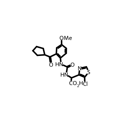 COc1ccc(NC(=O)NC(C(=O)O)c2ncsc2Cl)c(C(=O)C2CCCC2)c1